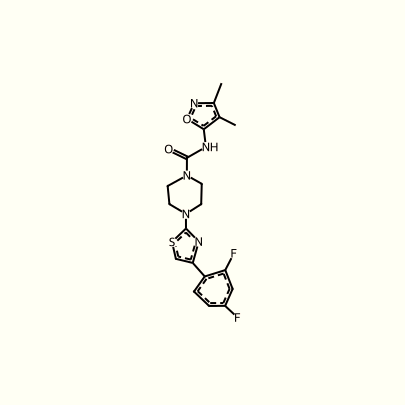 Cc1noc(NC(=O)N2CCN(c3nc(-c4ccc(F)cc4F)cs3)CC2)c1C